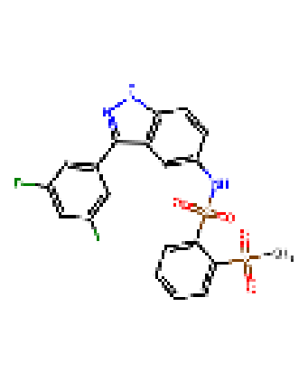 CS(=O)(=O)c1ccccc1S(=O)(=O)Nc1ccc2[nH]nc(-c3cc(F)cc(F)c3)c2c1